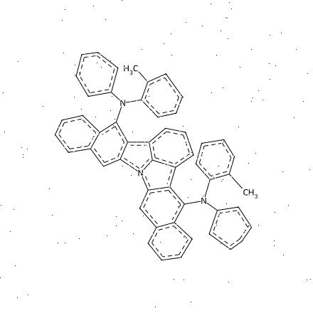 Cc1ccccc1N(c1ccccc1)c1c2ccccc2cc2c1c1cccc3c4c(N(c5ccccc5)c5ccccc5C)c5ccccc5cc4n2c13